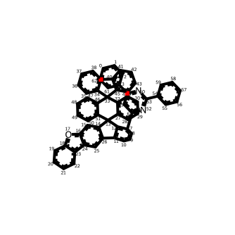 c1ccc(-c2cc(-c3cccc4c3C3(c5cc6oc7ccccc7c6cc5-4)c4ccccc4C4(c5ccccc5-c5ccccc54)c4ccccc43)nc(-c3ccccc3)n2)cc1